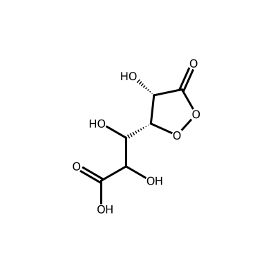 O=C(O)C(O)C(O)[C@H]1OOC(=O)[C@H]1O